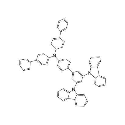 C1=CC(N(c2ccc(-c3ccccc3)cc2)c2ccc(-c3cc(-n4c5ccccc5c5ccccc54)cc(-n4c5ccccc5c5ccccc54)c3)cc2)CC=C1c1ccccc1